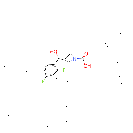 O=C(O)N1CC(C(O)c2ccc(F)cc2F)C1